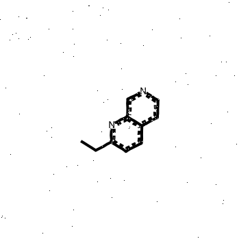 CCc1ccc2ccncc2n1